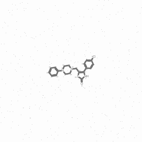 O=c1[nH]c(-c2ccc(Cl)cc2)c(CN2CCN(c3ccccc3)CC2)s1